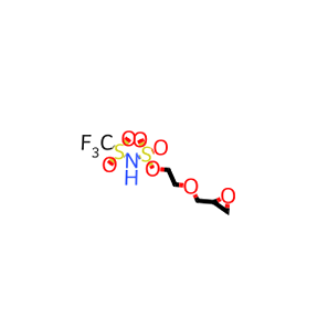 O=S(=O)(NS(=O)(=O)C(F)(F)F)OCCOCC1CO1